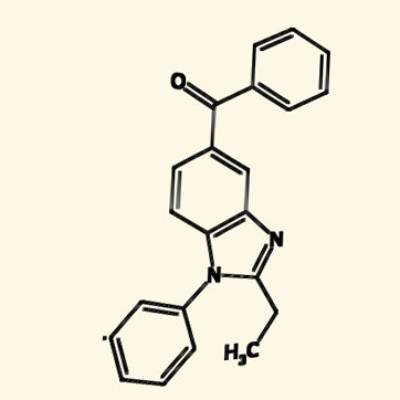 CCc1nc2cc(C(=O)c3ccccc3)ccc2n1-c1c[c]ccc1